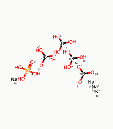 O=P(O)(O)O.OB(O)O.OB(O)O.[K+].[Na+].[Na+].[Na+].[O-]B(O)O.[O-]B([O-])[O-]